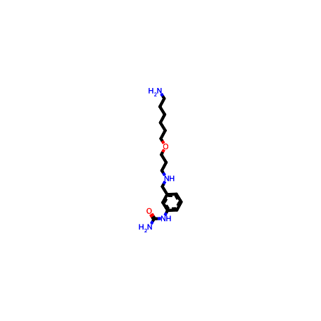 NCCCCCCOCCCNCc1cccc(NC(N)=O)c1